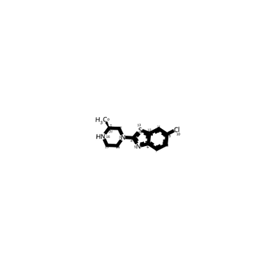 C[C@H]1CN(c2nc3ccc(Cl)cc3s2)CCN1